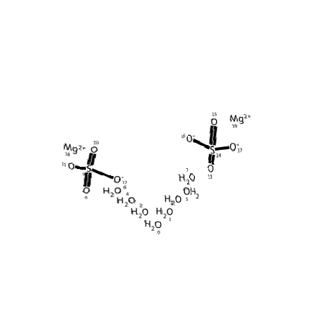 O.O.O.O.O.O.O.O.O=S(=O)([O-])[O-].O=S(=O)([O-])[O-].[Mg+2].[Mg+2]